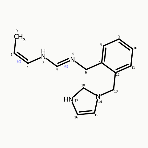 C/C=C\N/C=N/Cc1ccccc1CN1C=CNC1